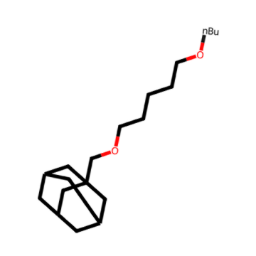 CCCCOCCCCCOCC12CC3CC(CC(C3)C1)C2